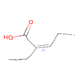 [CH2]C/C=C(/CC)C(=O)O